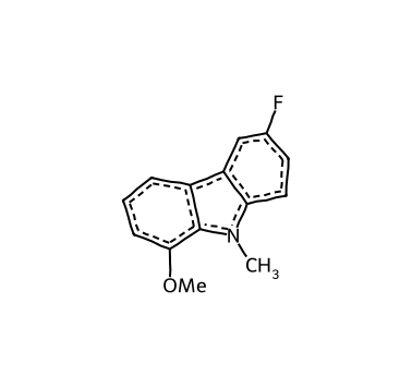 COc1cccc2c3cc(F)ccc3n(C)c12